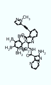 Bc1c(B)c(B)c(-n2c([C@@H](C)NC(=O)c3c(N)nn4cccnc34)nc3cccc(C#Cc4ccnn4C)c3c2=O)c(B)c1B